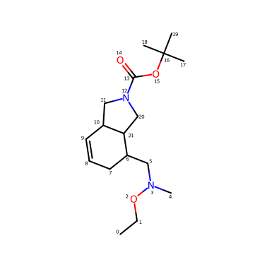 CCON(C)CC1CC=CC2CN(C(=O)OC(C)(C)C)CC21